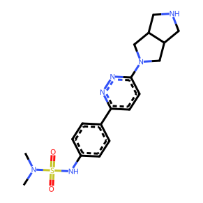 CN(C)S(=O)(=O)Nc1ccc(-c2ccc(N3CC4CNCC4C3)nn2)cc1